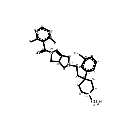 Cc1ncnc(C)c1C(=O)N1C=C2CN(CCC3(c4cccc(F)c4)CCN(C(=O)O)CC3)CC2C1